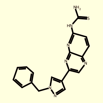 NC(=S)Nc1ccc2ncc(-c3cnn(Cc4ccccc4)c3)nc2n1